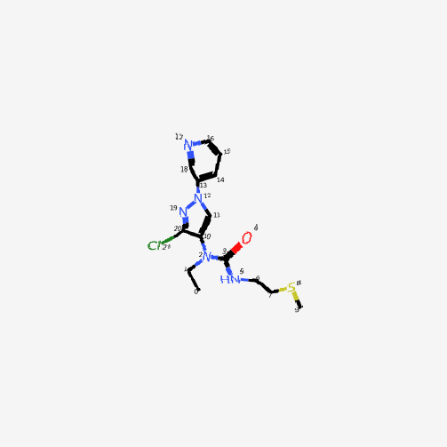 CCN(C(=O)NCCSC)c1cn(-c2cccnc2)nc1Cl